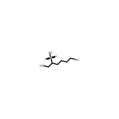 NCCCCC(CN)S(=O)(=O)O